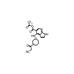 N#CCC(=O)N1CCC[C@@H](Nc2c(C(=O)OC(=O)C(F)(F)F)cnc3[nH]ccc23)C1